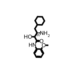 COc1ccccc1NC(=O)C(O)[C@H](N)CC1CCCCC1